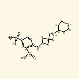 NS(=O)(=O)c1ccc(NC2CC3(C2)CN(C2CCOCC2)C3)c([N+](=O)[O-])c1